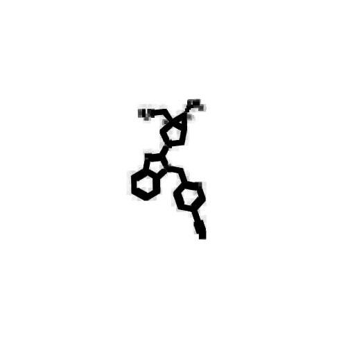 C[C@@H]1C2CN(c3nc4ccccc4n3Cc3ccc(C#N)cn3)C[C@@]21CN